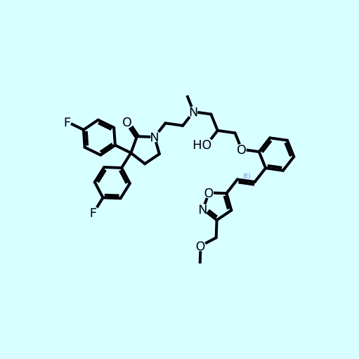 COCc1cc(/C=C/c2ccccc2OCC(O)CN(C)CCN2CCC(c3ccc(F)cc3)(c3ccc(F)cc3)C2=O)on1